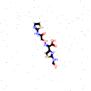 O=CNc1nc(C(=NOCC(=O)Nc2nccs2)C(=O)O)cs1